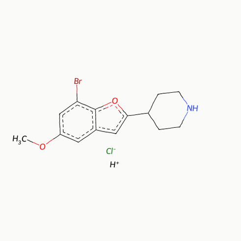 COc1cc(Br)c2oc(C3CCNCC3)cc2c1.[Cl-].[H+]